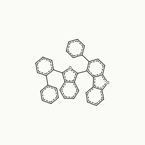 c1ccc(-c2ccccc2-c2oc(-c3c(-c4ccccc4)ccc4oc5ccccc5c34)c3ccccc23)cc1